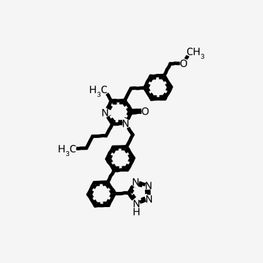 CCCCc1nc(C)c(Cc2cccc(COC)c2)c(=O)n1Cc1ccc(-c2ccccc2-c2nnn[nH]2)cc1